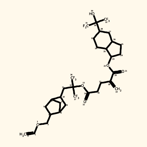 C=COCC1CC2CC1CC2CC(OC(=O)CCC(=C)C(=O)OC1CCC2CC(C(O)(C(F)(F)F)C(F)(F)F)CCC21)(C(F)(F)F)C(F)(F)F